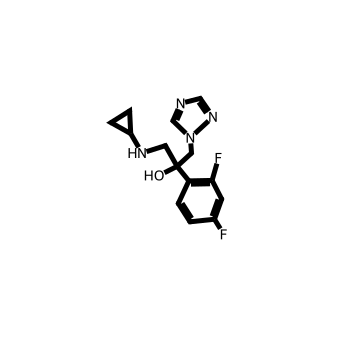 OC(CNC1CC1)(Cn1cncn1)c1ccc(F)cc1F